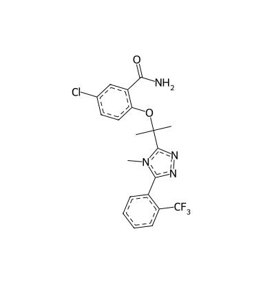 Cn1c(-c2ccccc2C(F)(F)F)nnc1C(C)(C)Oc1ccc(Cl)cc1C(N)=O